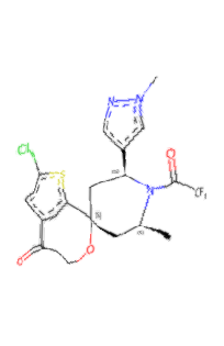 C[C@H]1C[C@@]2(C[C@@H](c3cnn(C)c3)N1C(=O)C(F)(F)F)OCC(=O)c1cc(Cl)sc12